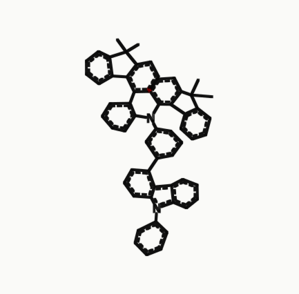 CC1(C)c2ccccc2-c2c(-c3ccccc3N(c3cccc(-c4cccc5c4c4ccccc4n5-c4ccccc4)c3)c3cccc4c3-c3ccccc3C4(C)C)cccc21